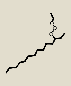 CCCCCCCCCCCC(CC)OOOCC